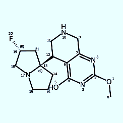 COc1nc(O)c2c(n1)CNCC2[C@@]12CCCN1C[C@H](F)C2